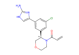 C=CC(=O)N1CCOC[C@H]1c1cc(Cl)cc(-c2c[nH]c(N)n2)c1